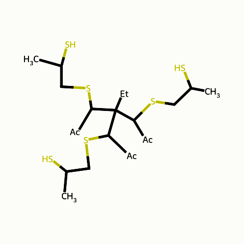 CCC(C(SCC(C)S)C(C)=O)(C(SCC(C)S)C(C)=O)C(SCC(C)S)C(C)=O